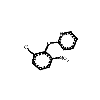 O=[N+]([O-])c1cccc(Cl)c1Oc1ccccn1